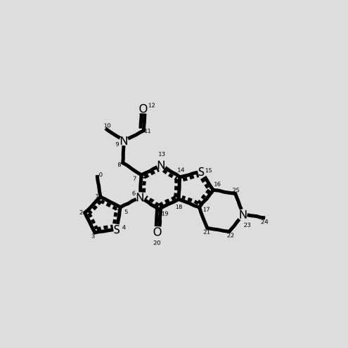 Cc1ccsc1-n1c(CN(C)C=O)nc2sc3c(c2c1=O)CCN(C)C3